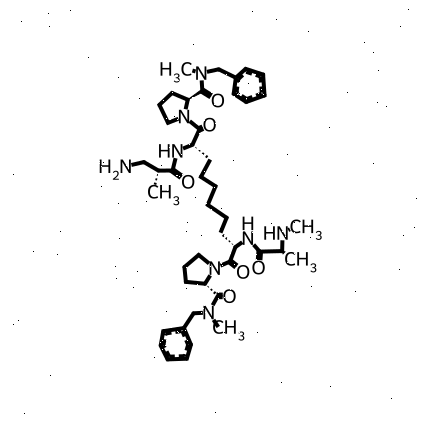 CN[C@@H](C)C(=O)N[C@@H](CCCCCC[C@H](NC(=O)[C@H](C)CN)C(=O)N1CCC[C@H]1C(=O)N(C)Cc1ccccc1)C(=O)N1CCC[C@H]1C(=O)N(C)Cc1ccccc1